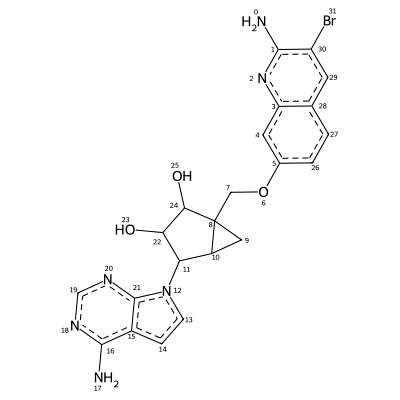 Nc1nc2cc(OCC34CC3C(n3ccc5c(N)ncnc53)C(O)C4O)ccc2cc1Br